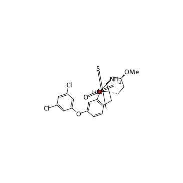 CO[C@H]1CC[C@]2(CC1)Cc1ccc(Oc3cc(Cl)cc(Cl)c3)cc1C21C(=O)NC(=S)N1N